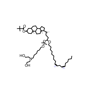 CCCCC/C=C\C/C=C\CCCCCCCCOC(CC[C@@H](C)C1CCC2C3CCC4C[C@H](OC(=O)C(C)(C)C)CC[C@]4(C)C3CC[C@@]21C)O[Si](C)(C)OCCCCCCN(CCO)CCO